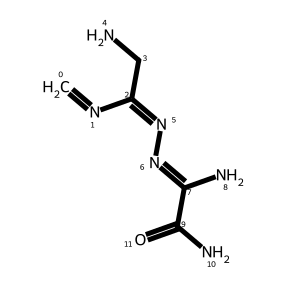 C=N/C(CN)=N\N=C(/N)C(N)=O